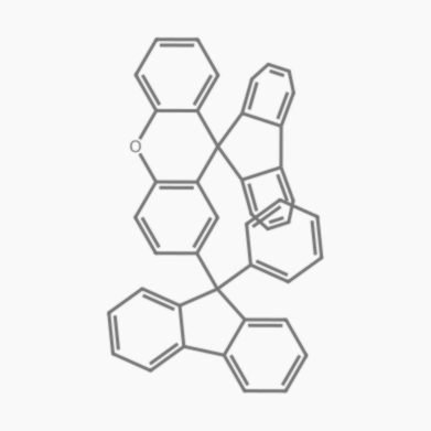 c1ccc(C2(c3ccc4c(c3)C3(c5ccccc5O4)c4ccccc4-c4ccccc43)c3ccccc3-c3ccccc32)cc1